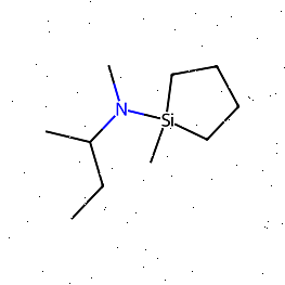 CCC(C)N(C)[Si]1(C)CCCC1